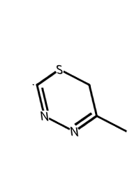 CC1=NN=[C]SC1